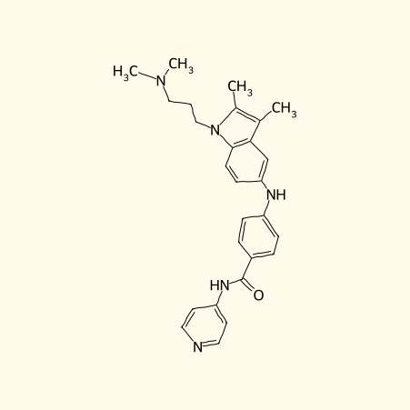 Cc1c(C)n(CCCN(C)C)c2ccc(Nc3ccc(C(=O)Nc4ccncc4)cc3)cc12